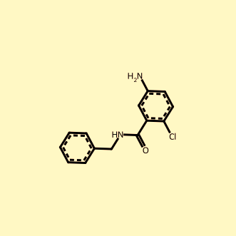 Nc1ccc(Cl)c(C(=O)NCc2ccccc2)c1